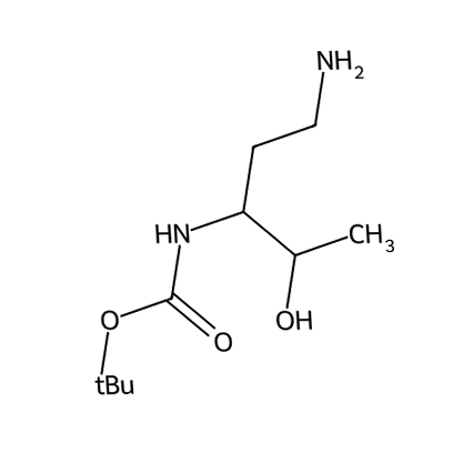 CC(O)C(CCN)NC(=O)OC(C)(C)C